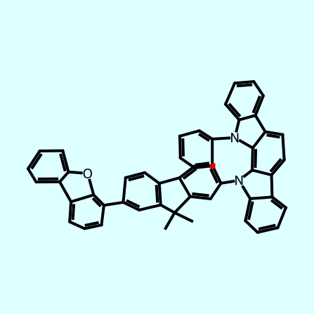 CC1(C)c2cc(-c3cccc4c3oc3ccccc34)ccc2-c2ccc(-n3c4ccccc4c4ccc5c6ccccc6n(-c6ccccc6)c5c43)cc21